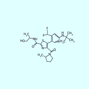 CC(CO)NC(=O)c1nc(C(=O)N2CCCC2C)c(-c2cnc(NC(C)(C)C)cc2C(F)F)s1